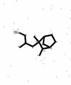 CC(CC(C)(C)C)CC1(C)C2CCC(C2)C1C